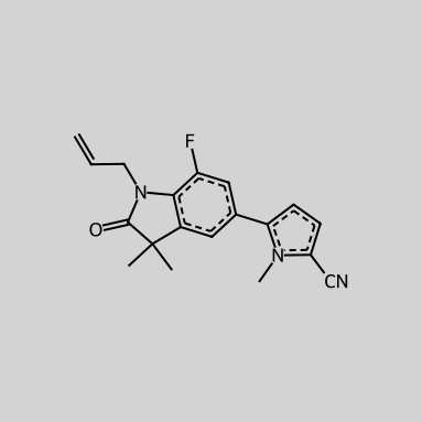 C=CCN1C(=O)C(C)(C)c2cc(-c3ccc(C#N)n3C)cc(F)c21